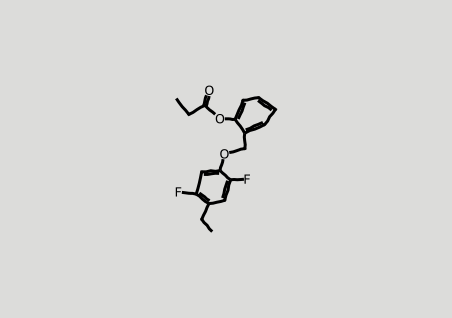 CCC(=O)Oc1ccccc1COc1cc(F)c(CC)cc1F